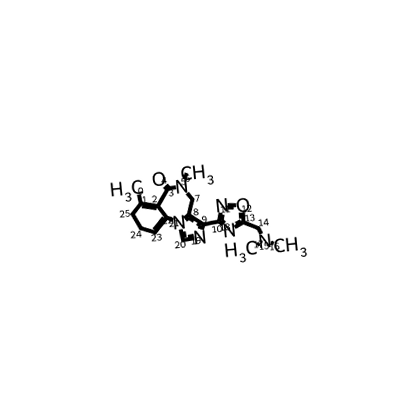 CC1=C2C(=O)N(C)Cc3c(-c4noc(CN(C)C)n4)ncn3C2=CCC1